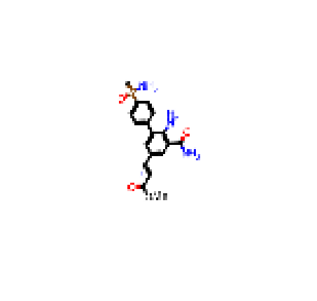 C=S(N)(=O)c1ccc(-c2cc(/C=C/C(=O)OC)cc(C(N)=O)c2N)cc1